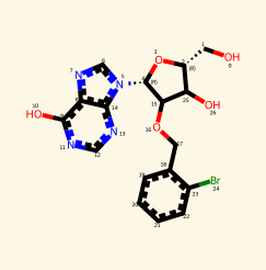 OC[C@H]1O[C@@H](n2cnc3c(O)ncnc32)C(OCc2ccccc2Br)C1O